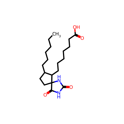 CCCCCCC1CCC2(NC(=O)NC2=O)C1CCCCCCC(=O)O